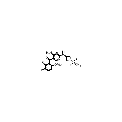 COc1ccc(F)c(F)c1C(=O)c1cnc(NC2CN(S(C)(=O)=O)C2)nc1N